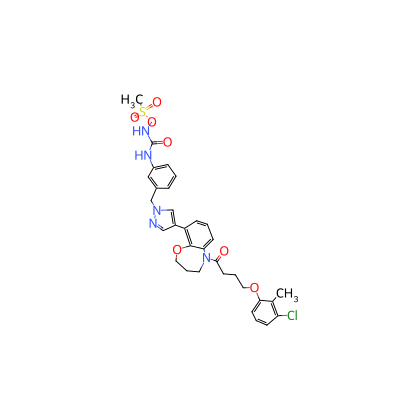 Cc1c(Cl)cccc1OCCCC(=O)N1CCCOc2c(-c3cnn(Cc4cccc(NC(=O)NOS(C)(=O)=O)c4)c3)cccc21